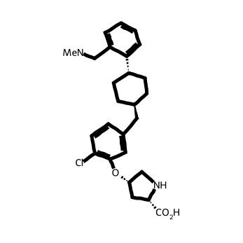 CNCc1ccccc1[C@H]1CC[C@H](Cc2ccc(Cl)c(O[C@@H]3CN[C@H](C(=O)O)C3)c2)CC1